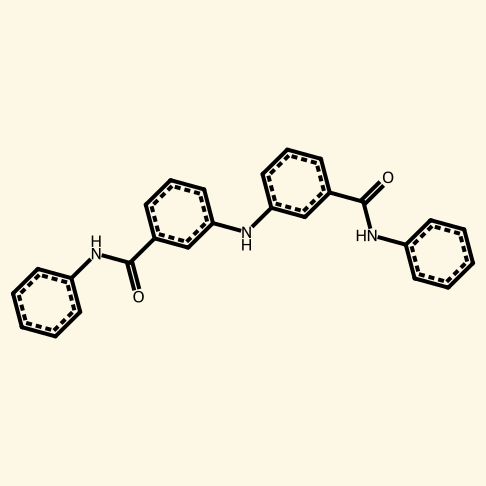 O=C(Nc1ccccc1)c1cccc(Nc2cccc(C(=O)Nc3ccccc3)c2)c1